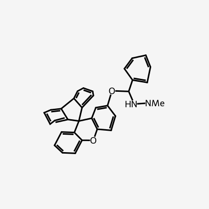 CNNC(Oc1ccc2c(c1)C1(c3ccccc3O2)c2ccccc2-c2ccccc21)c1ccccc1